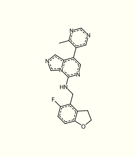 Cc1ncncc1-c1cnc(NCc2c(F)ccc3c2CCO3)n2cncc12